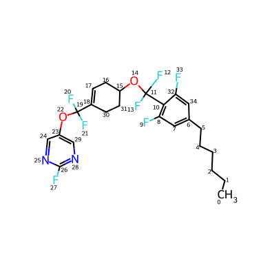 CCCCCCc1cc(F)c(C(F)(F)OC2CC=C(C(F)(F)Oc3cnc(F)nc3)CC2)c(F)c1